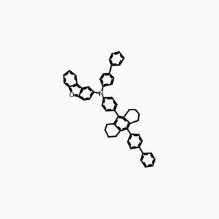 c1ccc(-c2ccc(-c3c4c(c(-c5ccc(N(c6ccc(-c7ccccc7)cc6)c6ccc7oc8ccccc8c7c6)cc5)c5c3CCCC5)CCCC4)cc2)cc1